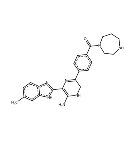 Cc1ccc2nc(C3=C(N)NCC(c4ccc(C(=O)N5CCCNCC5)cc4)=N3)[nH]c2c1